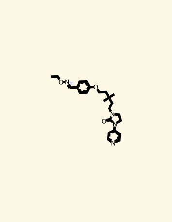 CCO/N=C/c1ccc(OCCC(C)(C)CCN2CCN(c3ccncc3)C2=O)cc1